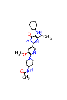 COc1cc(-c2nc3c(C)nn(C4CCCCC4)c3c(=O)[nH]2)cnc1N1CCC(NC(C)=O)CC1